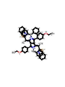 CCC(C)COc1ccc(-c2c3/c(=C(\C#N)c4nc5ccccc5s4)n(B(c4ccccc4)c4ccccc4)c(-c4ccc(OCC(C)CC)cc4)c3/c(=C(\C#N)c3nc4ccccc4s3)n2Bc2ccccc2)cc1